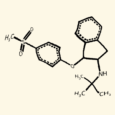 CC(C)(C)NC1Cc2ccccc2C1Oc1ccc(S(C)(=O)=O)cc1